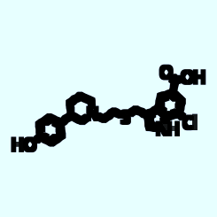 O=C(O)c1cc(Cl)c2[nH]cc(CSCCN3CCCC(c4ccc(O)cc4)C3)c2c1